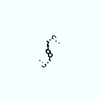 C[C@@H]1C[C@@H](c2nc(C#Cc3ccc4cc(-c5c[nH]c([C@@H]6CC[C@H](C)N6C(=O)OC(C)(C)C)n5)ccc4c3)c[nH]2)N(C(=O)OC(C)(C)C)[C@@H]1C